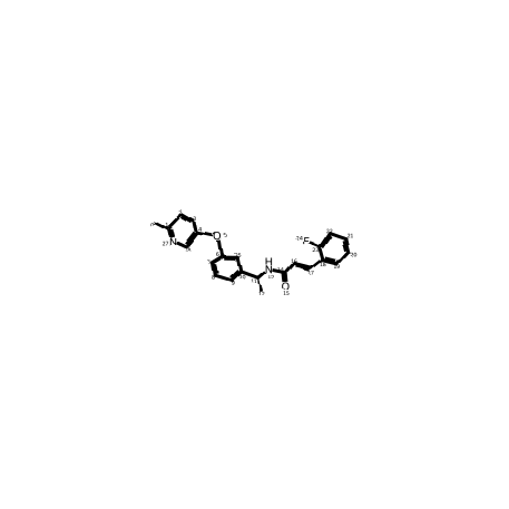 Cc1ccc(Oc2cccc([C@H](C)NC(=O)C=Cc3ccccc3F)c2)cn1